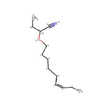 CC/C=C\CCCCCOC(C#N)CC